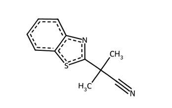 CC(C)(C#N)c1nc2ccccc2s1